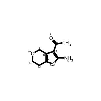 CC(=O)c1c(N)sc2c1COCC2